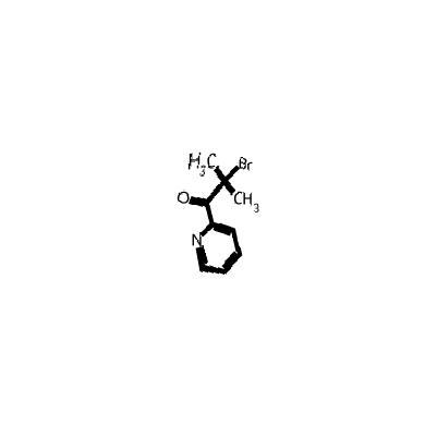 CC(C)(Br)C(=O)c1ccccn1